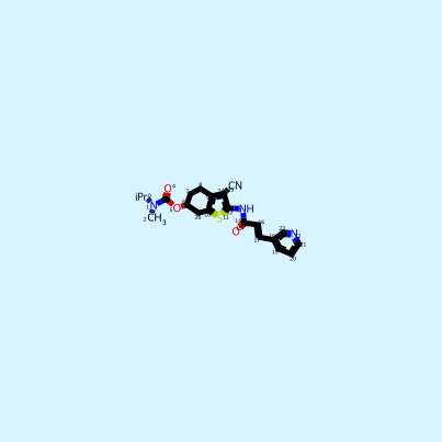 CC(C)N(C)C(=O)OC1CCc2c(sc(NC(=O)C=Cc3cccnc3)c2C#N)C1